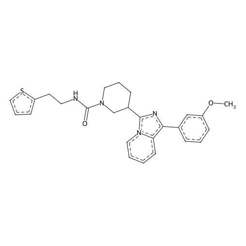 COc1cccc(-c2nc(C3CCCN(C(=O)NCCc4cccs4)C3)n3ccccc23)c1